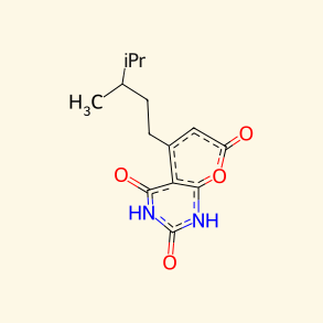 CC(C)C(C)CCc1cc(=O)oc2[nH]c(=O)[nH]c(=O)c12